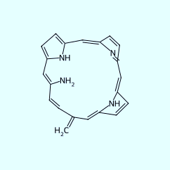 C=C1/C=C\C(N)=C\c2ccc([nH]2)/C=C2/C=CC(=N2)/C=c2/cc/c([nH]2)=C/1